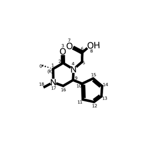 C[C@@H]1C(=O)N(CC(=O)O)C(c2ccccc2)CN1C